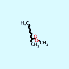 C=CCCCCCC(CC)C(=O)OCC